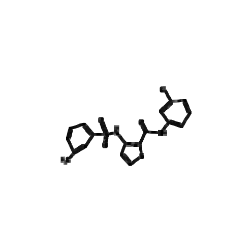 O=C(Nc1cccc(Cl)c1)c1sccc1NS(=O)(=O)c1cccc(C(F)(F)F)c1